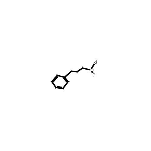 ClP(Cl)CCCc1ccccc1